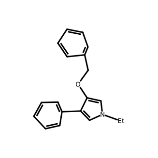 [CH2]Cn1cc(OCc2ccccc2)c(-c2ccccc2)c1